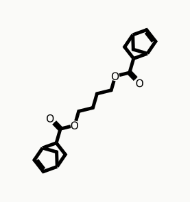 O=C(OCCCCOC(=O)C1CC2C=CC1C2)C1CC2C=CC1C2